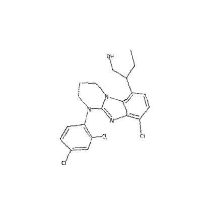 CCC(CO)c1ccc(Cl)c2nc3n(c12)CCCN3c1ccc(Cl)cc1Cl